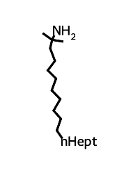 CCCCCCCCCCCCCCCCC(C)(C)N